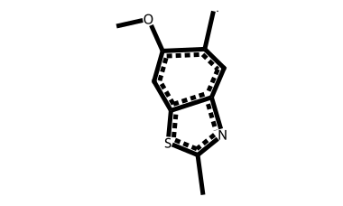 [CH2]c1cc2nc(C)sc2cc1OC